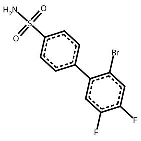 NS(=O)(=O)c1ccc(-c2cc(F)c(F)cc2Br)cc1